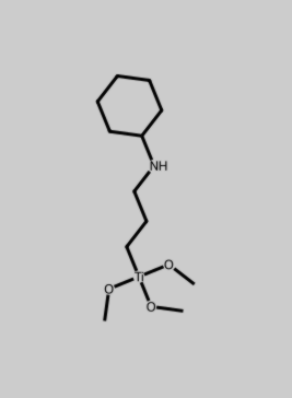 C[O][Ti]([CH2]CCNC1CCCCC1)([O]C)[O]C